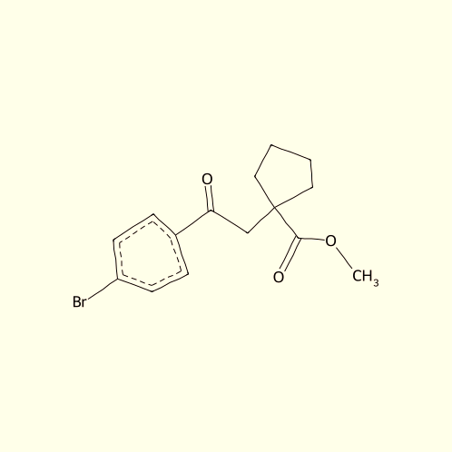 COC(=O)C1(CC(=O)c2ccc(Br)cc2)CCCC1